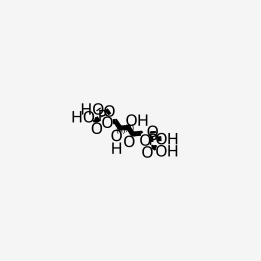 O=C(COP(=O)(O)C(=O)O)[C@H](O)[C@H](O)COP(=O)(O)C(=O)O